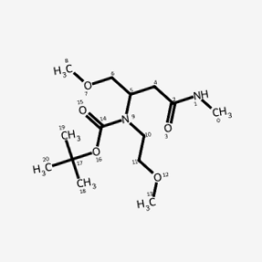 CNC(=O)CC(COC)N(CCOC)C(=O)OC(C)(C)C